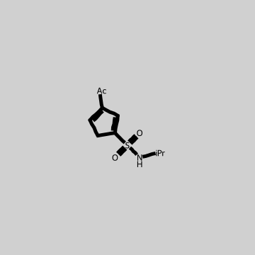 CC(=O)C1=CCC(S(=O)(=O)NC(C)C)=C1